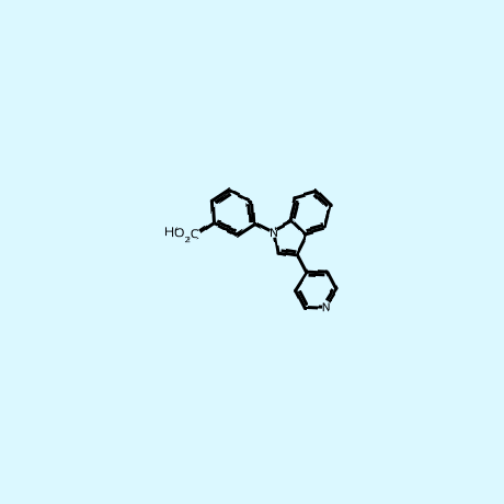 O=C(O)c1cccc(-n2cc(-c3ccncc3)c3ccccc32)c1